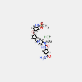 CCCCN(C(=O)Nc1ccc(C(N)=O)cc1)C1CCN(Cc2ccc(Oc3ccc(NS(C)(=O)=O)cc3)cc2)CC1.Cl